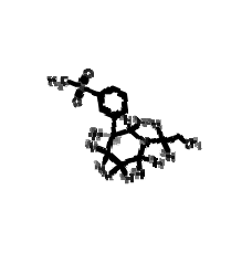 [2H]C([2H])(CC)N1C([2H])([2H])C([2H])([2H])C([2H])([2H])[C@@]([2H])(c2cccc(S(C)(=O)=O)c2)C1([2H])[2H]